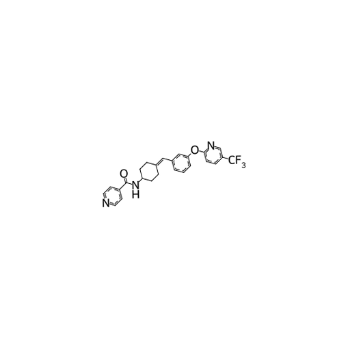 O=C(NC1CCC(=Cc2cccc(Oc3ccc(C(F)(F)F)cn3)c2)CC1)c1ccncc1